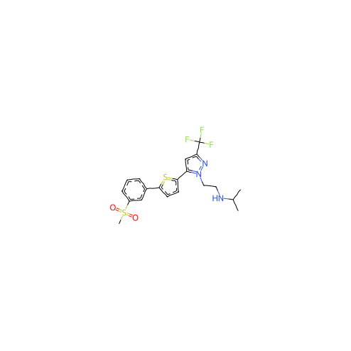 CC(C)NCCn1nc(C(F)(F)F)cc1-c1ccc(-c2cccc(S(C)(=O)=O)c2)s1